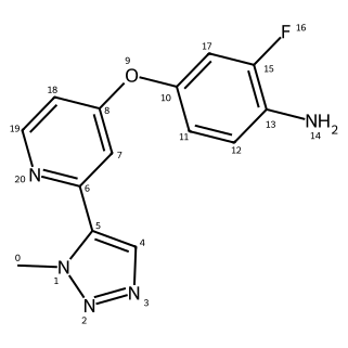 Cn1nncc1-c1cc(Oc2ccc(N)c(F)c2)ccn1